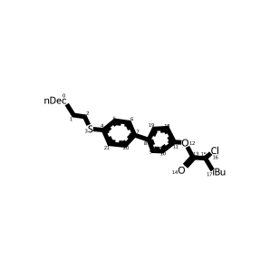 CCCCCCCCCCCCSc1ccc(-c2ccc(OC(=O)C(Cl)C(C)CC)cc2)cc1